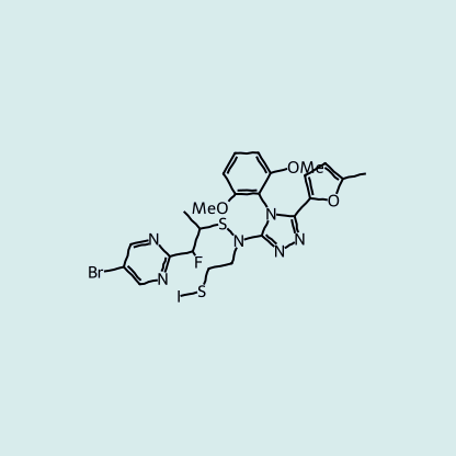 COc1cccc(OC)c1-n1c(-c2ccc(C)o2)nnc1N(CCSI)SC(C)C(F)c1ncc(Br)cn1